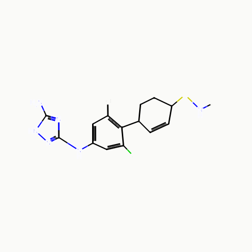 CNSC1C=CC(c2c(C)cc(Nc3n[nH]c(N)n3)cc2Cl)CC1